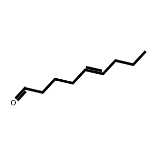 CCCC=CCCC[C]=O